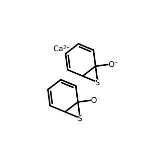 [Ca+2].[O-]C12C=CC=CC1S2.[O-]C12C=CC=CC1S2